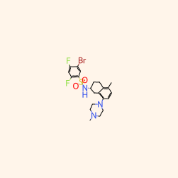 Cc1ccc(N2CCN(C)CC2)c2c1CC[C@@H](NS(=O)(=O)c1cc(Br)c(F)cc1F)C2